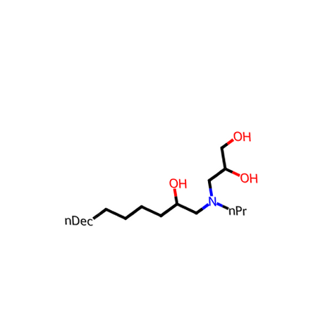 CCCCCCCCCCCCCCC(O)CN(CCC)CC(O)CO